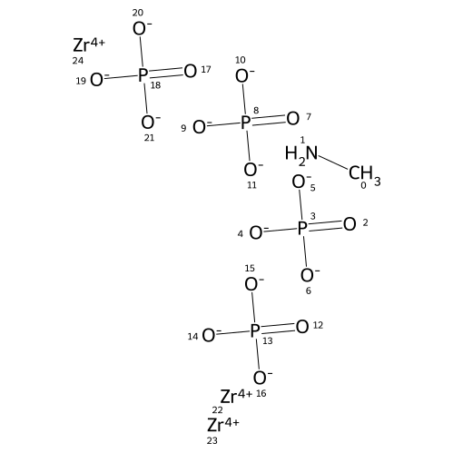 CN.O=P([O-])([O-])[O-].O=P([O-])([O-])[O-].O=P([O-])([O-])[O-].O=P([O-])([O-])[O-].[Zr+4].[Zr+4].[Zr+4]